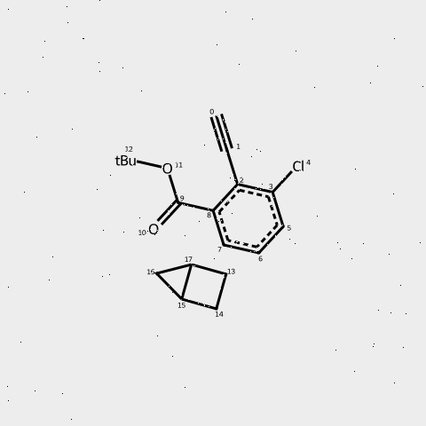 C#Cc1c(Cl)cccc1C(=O)OC(C)(C)C.C1CC2CC12